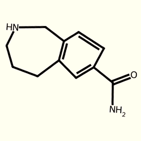 NC(=O)c1ccc2c(c1)CCCNC2